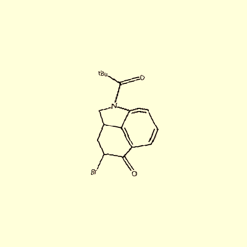 CC(C)(C)C(=O)N1CC2CC(Br)C(=O)c3cccc1c32